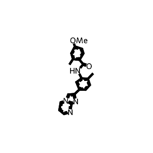 COc1ccc(C(=O)Nc2cc(-c3cn4cccnc4n3)ccc2C)c(C)c1